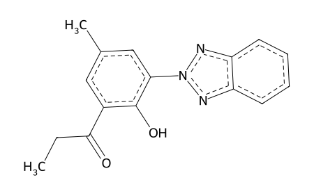 CCC(=O)c1cc(C)cc(-n2nc3ccccc3n2)c1O